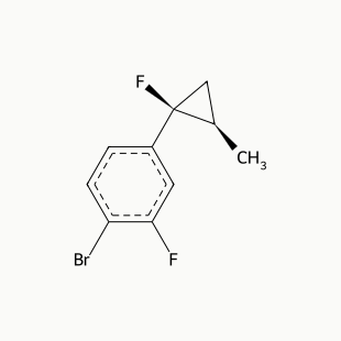 C[C@@H]1C[C@@]1(F)c1ccc(Br)c(F)c1